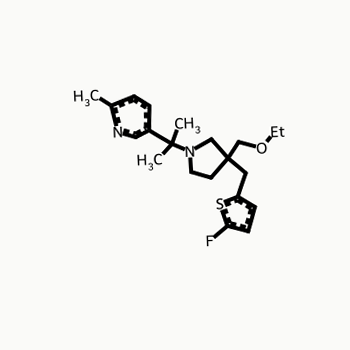 CCOCC1(Cc2ccc(F)s2)CCN(C(C)(C)c2ccc(C)nc2)C1